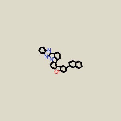 c1ccc2cc(-c3ccc4oc5ccc6c(c7cccc8c9nc%10ccccc%10nc9n6c87)c5c4c3)ccc2c1